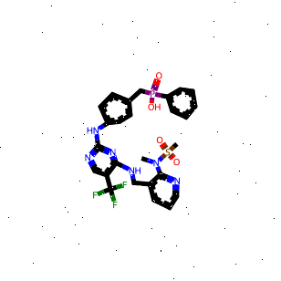 CN(c1ncccc1CNc1nc(Nc2ccc(CP(=O)(O)c3ccccc3)cc2)ncc1C(F)(F)F)S(C)(=O)=O